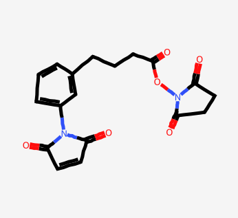 O=C(CCCc1cccc(N2C(=O)C=CC2=O)c1)ON1C(=O)CCC1=O